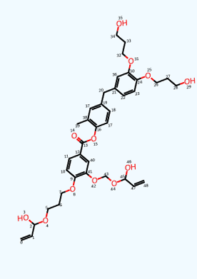 C=CC(O)OCCCOc1ccc(C(=O)Oc2ccc(Cc3ccc(OCCCO)c(OCCCO)c3)cc2C)cc1OCOC(O)C=C